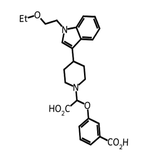 CCOCCn1cc(C2CCN(C(Oc3cccc(C(=O)O)c3)C(=O)O)CC2)c2ccccc21